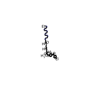 CC/C=C\C/C=C\C/C=C\C/C=C\C/C=C\C/C=C\CCC(=O)NCCCNCCNC(=O)C(C)(C)Oc1ccc(C(=O)c2ccc(Cl)cc2)cc1